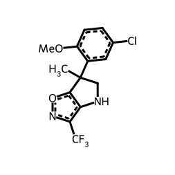 COc1ccc(Cl)cc1C1(C)CNc2c(C(F)(F)F)noc21